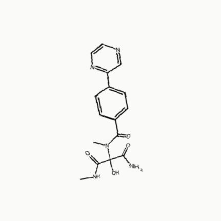 CNC(=O)C(O)(C(N)=O)N(C)C(=O)c1ccc(-c2cnccn2)cc1